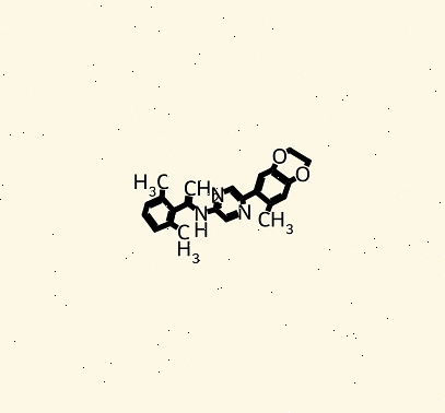 C=C(Nc1cnc(-c2cc3c(cc2C)OCCO3)cn1)c1c(C)cccc1C